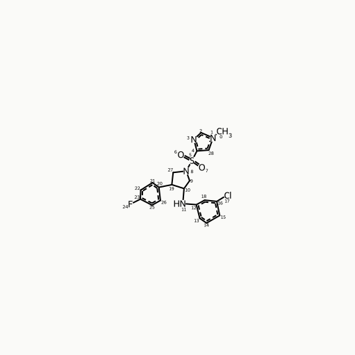 Cn1cnc(S(=O)(=O)N2CC(Nc3cccc(Cl)c3)C(c3ccc(F)cc3)C2)c1